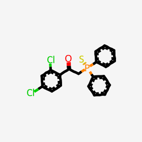 O=C(CP(=S)(c1ccccc1)c1ccccc1)c1ccc(Cl)cc1Cl